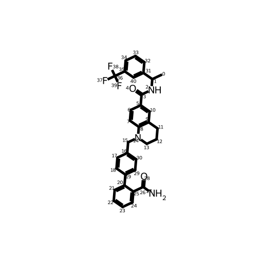 CC(NC(=O)c1ccc2c(c1)CCCN2Cc1ccc(-c2ccccc2C(N)=O)cc1)c1cccc(C(F)(F)F)c1